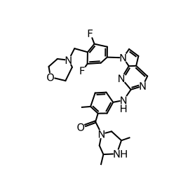 Cc1ccc(Nc2ncc3ccn(-c4cc(F)c(CN5CCOCC5)c(F)c4)c3n2)cc1C(=O)N1CC(C)NC(C)C1